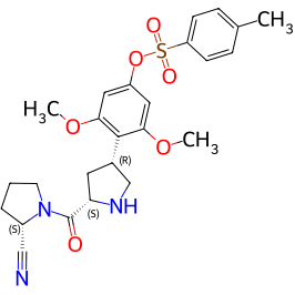 COc1cc(OS(=O)(=O)c2ccc(C)cc2)cc(OC)c1[C@@H]1CN[C@H](C(=O)N2CCC[C@H]2C#N)C1